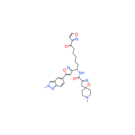 CN1CCC2(CC1)CC(C(=O)NC(CCCCCC(=O)c1ccon1)c1cc(-c3ccc4nn(C)cc4c3)on1)=NO2